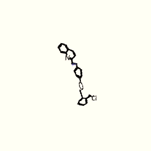 ClCc1ccccc1COc1ccc(/C=C/c2ccc3ccccc3n2)cc1